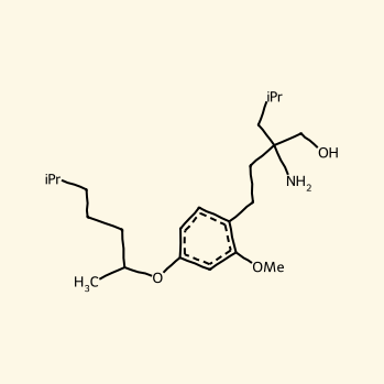 COc1cc(OC(C)CCCC(C)C)ccc1CCC(N)(CO)CC(C)C